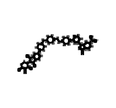 O=C1CCC(N2C(=O)c3ccc(N4CCN(CC5CCN(CCN6CCN(c7cc(-c8n[nH]c9ccc([N+](=O)[O-])cc89)ccn7)CC6)CC5)CC4)cc3C2=O)C(=O)N1